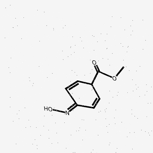 COC(=O)C1C=CC(=NO)C=C1